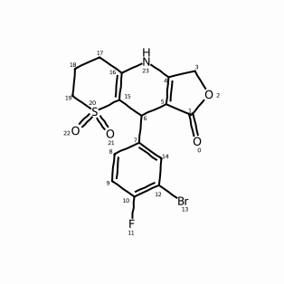 O=C1OCC2=C1C(c1ccc(F)c(Br)c1)C1=C(CCCS1(=O)=O)N2